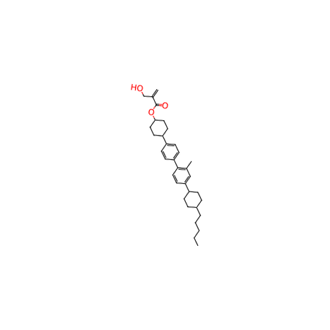 C=C(CO)C(=O)OC1CCC(c2ccc(-c3ccc(C4CCC(CCCCC)CC4)cc3C)cc2)CC1